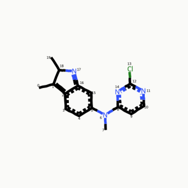 CC1=c2ccc(N(C)c3ccnc(Cl)n3)cc2=NC1C